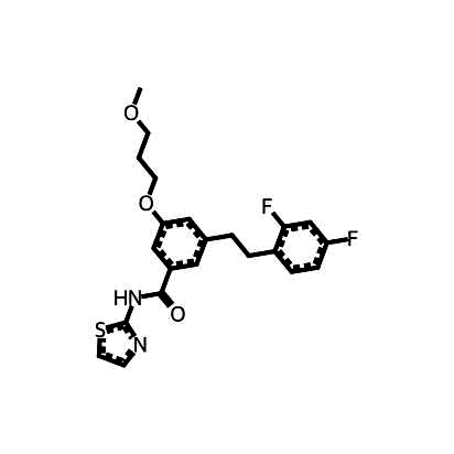 COCCCOc1cc(CCc2ccc(F)cc2F)cc(C(=O)Nc2nccs2)c1